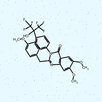 COc1ccc(Cc2nc3cc(OC)c(OC)cc3c(=O)n2-c2ccc(C(O)(C(F)(F)F)C(F)(F)F)cc2)cc1